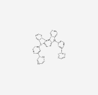 c1cc(-c2cnccn2)cc(-n2c3ccccc3c3c4c5ccccc5n(-c5cccc(-c6cnccn6)c5)c4ccc32)c1